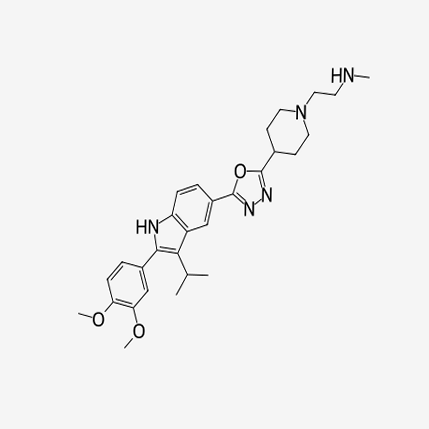 CNCCN1CCC(c2nnc(-c3ccc4[nH]c(-c5ccc(OC)c(OC)c5)c(C(C)C)c4c3)o2)CC1